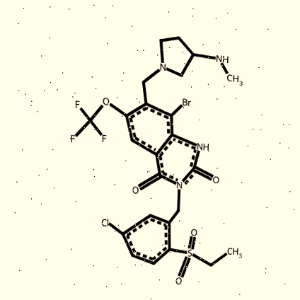 CCS(=O)(=O)c1ccc(Cl)cc1Cn1c(=O)[nH]c2c(Br)c(CN3CCC(NC)C3)c(OC(F)(F)F)cc2c1=O